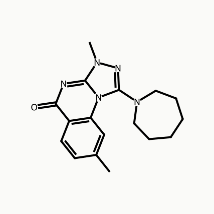 Cc1ccc2c(=O)nc3n(C)nc(N4CCCCCC4)n3c2c1